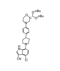 CCCCOC(OCCCC)[C@@H]1CN(c2ccc(C3CCN(c4ccc(Cl)c5c(C#N)c[nH]c45)CC3)cc2)CCO1